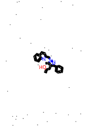 C=C(O)Cc1c(-c2ccccc2)nn(Cc2ccc3ccccc3n2)c1C